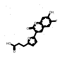 O=C(O)CCc1ccc(-c2cc3cc(F)c(O)cc3oc2=O)o1